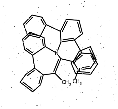 CC1=C(c2cccc[n+]2C)N(c2c(-c3ccccc3)cccc2-c2ccccc2)c2ccccc2-c2ccccc21